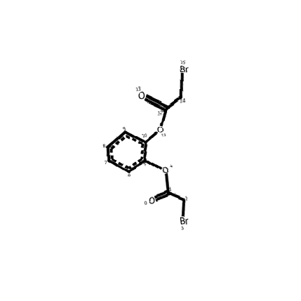 O=C(CBr)Oc1ccccc1OC(=O)CBr